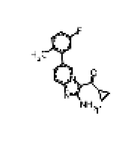 Cc1ccc(F)cc1-c1ccc2nc(N)c(C(=O)[C@@H]3C[C@@H]3F)n2c1